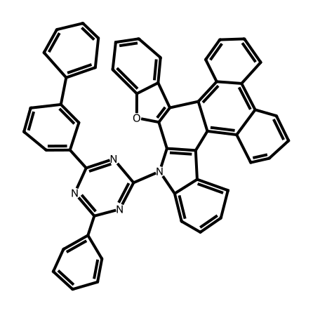 c1ccc(-c2cccc(-c3nc(-c4ccccc4)nc(-n4c5ccccc5c5c6c7ccccc7c7ccccc7c6c6c7ccccc7oc6c54)n3)c2)cc1